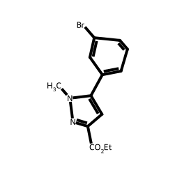 CCOC(=O)c1cc(-c2cccc(Br)c2)n(C)n1